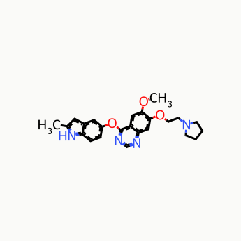 COc1cc2c(Oc3ccc4[nH]c(C)cc4c3)ncnc2cc1OCCN1CCCC1